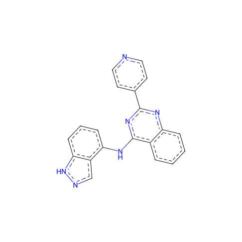 c1ccc2c(Nc3cccc4[nH]ncc34)nc(-c3ccncc3)nc2c1